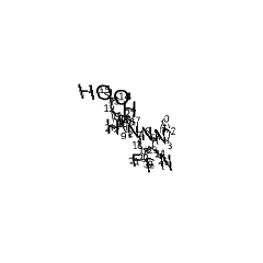 C[C@H]1CCN1c1nc(N2C[C@@H]3[C@@H](CC(=O)O)[C@@H]3C2)cc(C(F)F)c1C#N